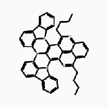 CCCCc1nc2c3c4c(c5c(CCCC)nc6cccc1c6c25)-n1c2ccccc2c2cccc(c21)B4c1cccc2c4ccccc4n-3c12